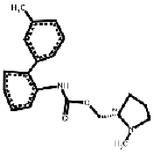 Cc1cccc(-c2ccccc2NC(=O)OC[C@@H]2CCCN2C)c1